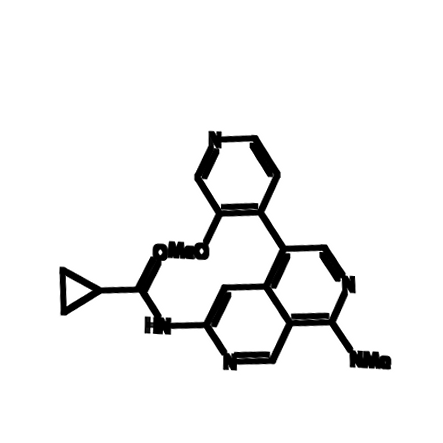 CNc1ncc(-c2ccncc2OC)c2cc(NC(=O)C3CC3)ncc12